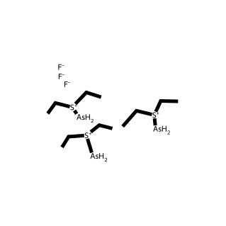 CC[S+]([AsH2])CC.CC[S+]([AsH2])CC.CC[S+]([AsH2])CC.[F-].[F-].[F-]